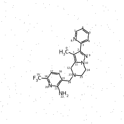 Cc1c(-c2ccccn2)nn2c1CN(Cc1ccc(C(F)(F)F)nc1N)CC2